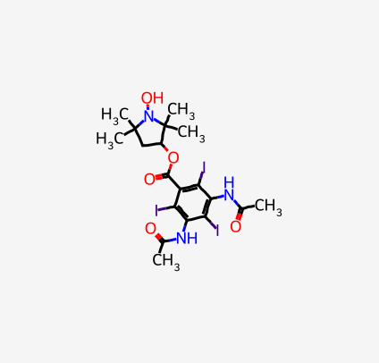 CC(=O)Nc1c(I)c(NC(C)=O)c(I)c(C(=O)OC2CC(C)(C)N(O)C2(C)C)c1I